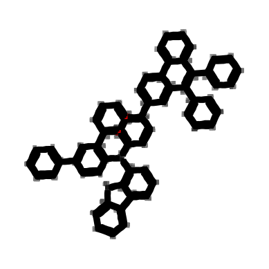 c1ccc(-c2ccc(N(c3ccc(-c4ccc5c(c4)c(-c4ccccc4)c(-c4ccccc4)c4ccccc45)cc3)c3cccc4c3sc3ccccc34)c(-c3ccccc3)c2)cc1